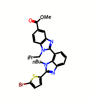 CCCCn1c(-c2ccc(Br)s2)nc2cccc(-c3nc4cc(C(=O)OC)ccc4n3CC(C)C)c21